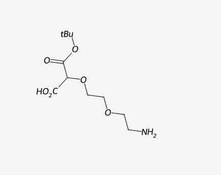 CC(C)(C)OC(=O)C(OCCOCCN)C(=O)O